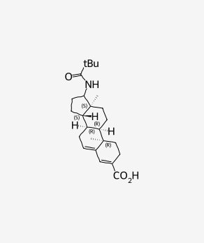 CC(C)(C)C(=O)NC1CC[C@H]2[C@@H]3CC=C4C=C(C(=O)O)CC[C@]4(C)[C@@H]3CC[C@]12C